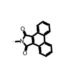 [CH2]N1C(=O)c2c(c3ccccc3c3ccccc23)C1=O